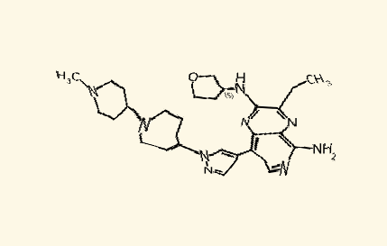 CCc1nc2c(N)ncc(-c3cnn(C4CCN(C5CCN(C)CC5)CC4)c3)c2nc1N[C@H]1CCOC1